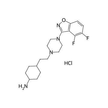 Cl.NC1CCC(CCN2CCN(c3noc4ccc(F)c(F)c34)CC2)CC1